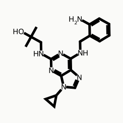 CC(C)(O)CNc1nc(NCc2ccccc2N)c2ncn(C3CC3)c2n1